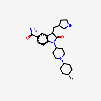 CC(C)[C@H]1CC[C@@H](N2CCC(N3C(=O)C(CC4CCNC4)c4cc(C(N)=O)ccc43)CC2)CC1